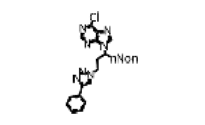 CCCCCCCCCC(CCn1cc(-c2ccccc2)nn1)n1cnc2c(Cl)ncnc21